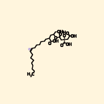 CCCCCCCC/C=C\CCCCCCC(CC(CO)OC(=O)CC(O)(CC(=O)O)C(=O)O)C(=O)O